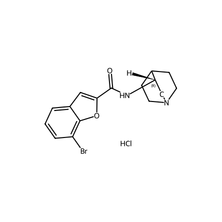 Cl.O=C(N[C@H]1CN2CCC1CC2)c1cc2cccc(Br)c2o1